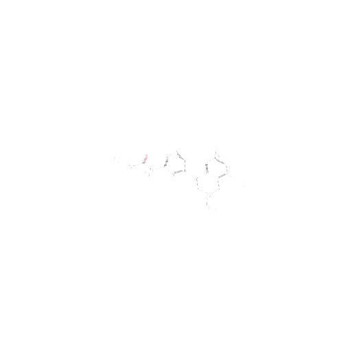 CNC(=O)N(S)c1cccc(C2CN(C)Cc3c(Cl)cc(Cl)cc32)c1